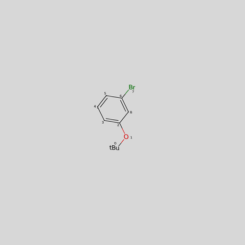 CC(C)(C)Oc1c[c]cc(Br)c1